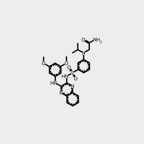 COc1cc(Nc2nc3ccccc3nc2NS(=O)(=O)c2cccc(N(CC(N)=O)C(C)C)c2)cc(OC)c1